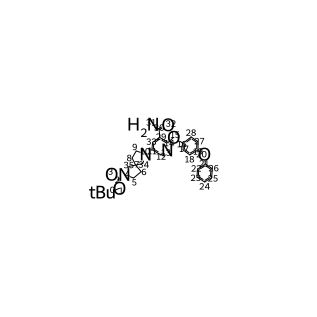 CC(C)(C)OC(=O)N1CCC2(CCN(c3cnc(Oc4ccc(Oc5ccccc5)cc4)c(C(N)=O)c3)C2)C1